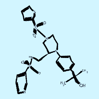 C[C@@](O)(c1ccc(N2CCN(S(=O)(=O)c3cccs3)C[C@@H]2CNS(=O)(=O)c2cccnc2)cc1)C(F)(F)F